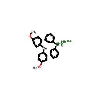 Br.Br.Br.Br.COc1ccc([Te]c2ccc(OC)cc2)cc1.c1cc[c]([GeH2][c]2ccccc2)cc1